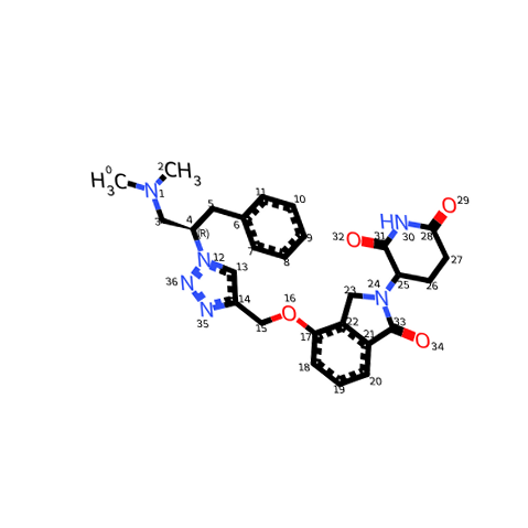 CN(C)C[C@@H](Cc1ccccc1)n1cc(COc2cccc3c2CN(C2CCC(=O)NC2=O)C3=O)nn1